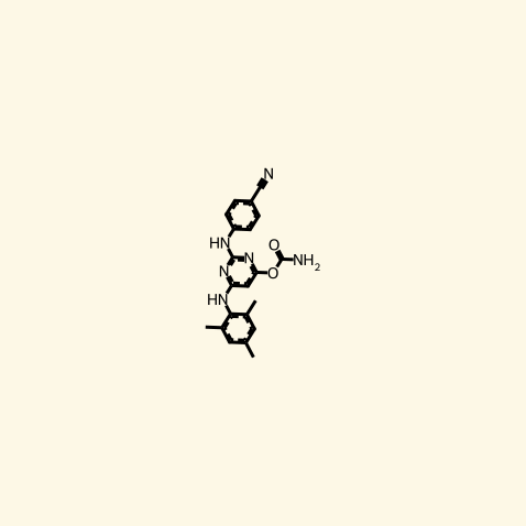 Cc1cc(C)c(Nc2cc(OC(N)=O)nc(Nc3ccc(C#N)cc3)n2)c(C)c1